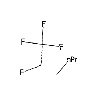 CCCC.FCC(F)(F)F